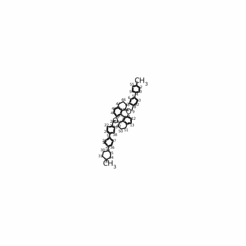 Cc1ccc(-c2ccc(COc3ccc4c(c3-c3c(OCc5ccc(-c6ccc(C7CCC(C)CC7)cc6)cc5)ccc5c3CCCC5)CCCC4)cc2)cc1